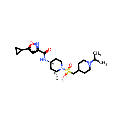 CC(C)N1CCC(CS(=O)(=O)N2CC[C@@H](NC(=O)c3cc(C4CC4)on3)C[C@H]2C)CC1